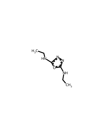 CCNc1nnc(NCC)o1